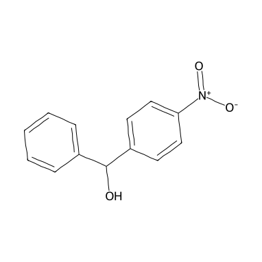 O=[N+]([O-])c1ccc(C(O)c2ccccc2)cc1